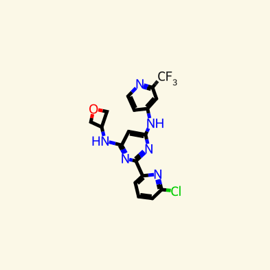 FC(F)(F)c1cc(Nc2cc(NC3COC3)nc(-c3cccc(Cl)n3)n2)ccn1